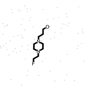 [O]CCCN1CCN(CCF)CC1